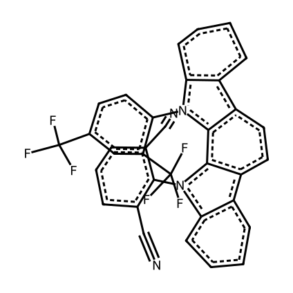 N#Cc1cccc(C#N)c1-n1c2ccccc2c2ccc3c4ccccc4n(-c4ccc(C(F)(F)F)cc4C(F)(F)F)c3c21